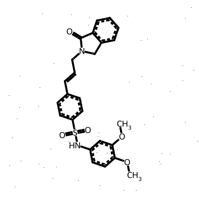 COc1ccc(NS(=O)(=O)c2ccc(C=CCN3Cc4ccccc4C3=O)cc2)cc1OC